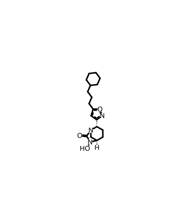 O=C1N(O)[C@@H]2CC[C@@H](c3cc(CCCC4CCCCC4)on3)N1C2